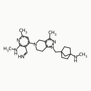 CNc1nc(C)cc(N2CCc3c(c(C)nn3CC34CCC(NC)(CC3)C4)C2)c1C=N